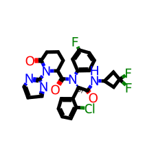 O=C(NC1CC(F)(F)C1)[C@H](c1ccccc1Cl)N(C(=O)C1CCCC(=O)N1c1ncccn1)c1cccc(F)c1